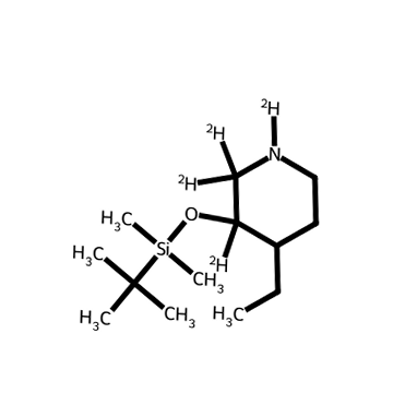 [2H]N1CCC(CC)C([2H])(O[Si](C)(C)C(C)(C)C)C1([2H])[2H]